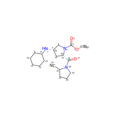 CC(C)(C)OC(=O)N1C[C@@H](NC2CCCCC2)C[C@H]1C(=O)N1CCCC1C#N